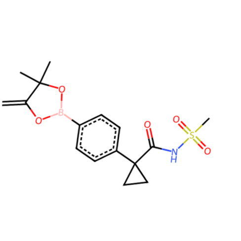 C=C1OB(c2ccc(C3(C(=O)NS(C)(=O)=O)CC3)cc2)OC1(C)C